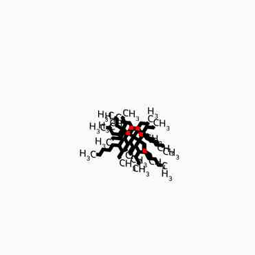 C=CCCC(CC(CCC)CCCCC)(C(CCC)([C](CC(C)C)CC(CCC)CCCCC)C(C)CC)C(CC=CC)(CC(CCC)CCCCC)C(C=CCC)(CC(CCC)CCCCC)C(C)CC(CCC)CCCCC